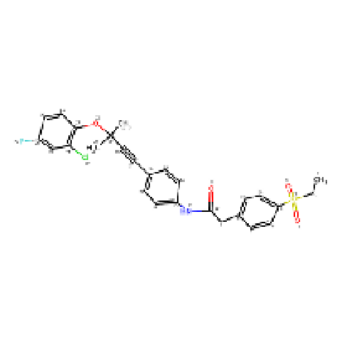 CCS(=O)(=O)c1ccc(CC(=O)Nc2ccc(C#CC(C)(C)Oc3ccc(F)cc3Cl)cc2)cc1